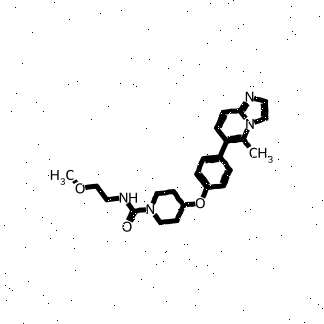 COCCNC(=O)N1CCC(Oc2ccc(-c3ccc4nccn4c3C)cc2)CC1